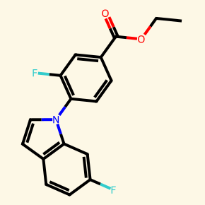 CCOC(=O)c1ccc(-n2ccc3ccc(F)cc32)c(F)c1